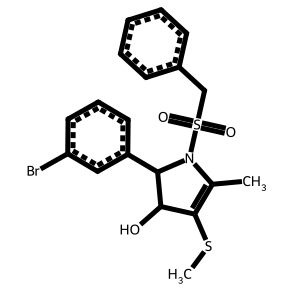 CSC1=C(C)N(S(=O)(=O)Cc2ccccc2)C(c2cccc(Br)c2)C1O